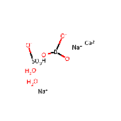 O.O.O=S(=O)([O-])O.[Ca+2].[Na+].[Na+].[O-]B([O-])[O-]